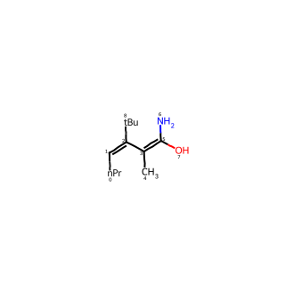 CCC/C=C(\C(C)=C(/N)O)C(C)(C)C